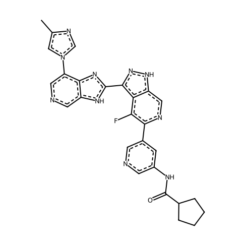 Cc1cn(-c2cncc3[nH]c(-c4n[nH]c5cnc(-c6cncc(NC(=O)C7CCCC7)c6)c(F)c45)nc23)cn1